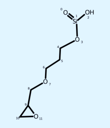 O=[Si](O)OCCCOCC1CO1